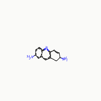 Nc1ccc2nc3c(cc2c1)CC(N)C=C3